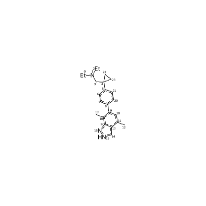 CCN(CC)CC1(c2ccc(-c3cc(C)c4c[nH]nc4c3C)cc2)CC1